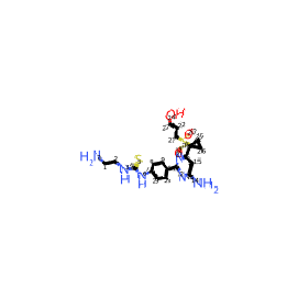 NCCNC(=S)Nc1ccc(-c2nc(N)cc(C3(S(=O)(=O)CCCO)CC3)n2)cc1